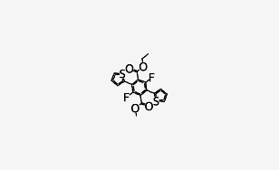 CCOC(=O)c1c(F)c(-c2cccs2)c(C(=O)OC)c(F)c1-c1cccs1